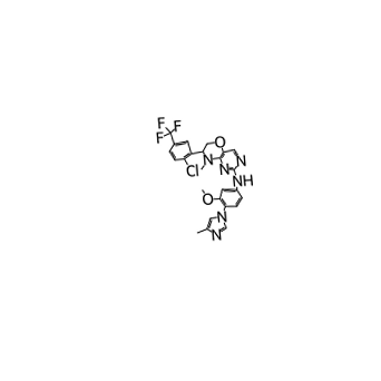 COc1cc(Nc2ncc3c(n2)N(C)C(c2cc(C(F)(F)F)ccc2Cl)CO3)ccc1-n1cnc(C)c1